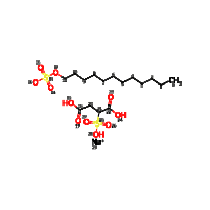 CCCCCCCCCCCCOS(=O)(=O)[O-].O=C(O)CC(C(=O)O)S(=O)(=O)O.[Na+]